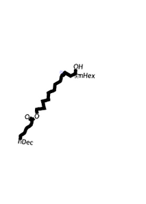 CCCCCCCCCCCCCCC(=O)OCCCCCCCC/C=C\C[C@H](O)CCCCCC